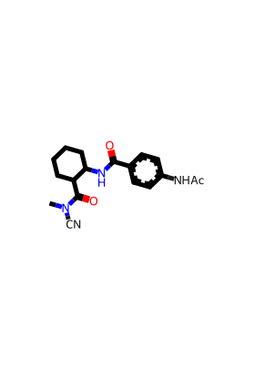 CC(=O)Nc1ccc(C(=O)NC2CCCCC2C(=O)N(C)C#N)cc1